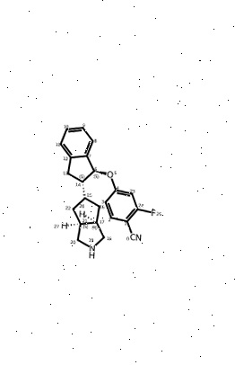 N#Cc1ccc(O[C@@H]2c3ccccc3C[C@H]2C2C[C@H]3CNC[C@H]3C2)cc1F